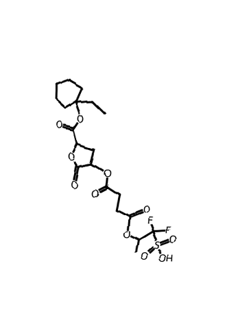 CCC1(OC(=O)C2CC(OC(=O)CCC(=O)OC(C)C(F)(F)S(=O)(=O)O)C(=O)O2)CCCCC1